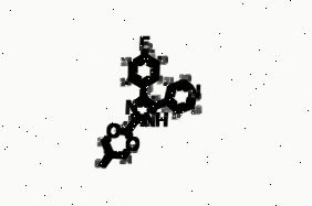 CC1COC(c2nc(-c3ccc(F)cc3)c(-c3ccncc3)[nH]2)OC1